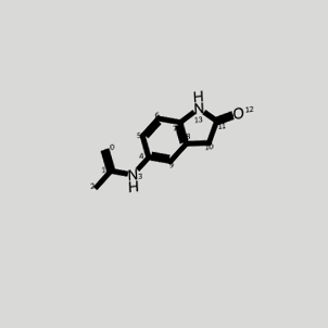 C=C(C)Nc1ccc2c(c1)CC(=O)N2